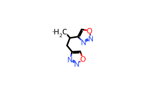 [CH2]C(Cc1conn1)c1conn1